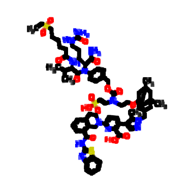 C=CS(=O)(=O)CCCCCC(=O)N[C@H](C(=O)N(c1ccc(COC(=O)N(CCOC23CC4(C)CC(C)(CC(Cn5ncc(-c6ccc(N7CCc8cccc(C(=O)Nc9nc%10ccccc%10s9)c8C7)nc6C(=O)O)c5C)(C4)C2)C3)CCS(=O)(=O)O)cc1)[C@@H](CCCNC(N)=O)C(N)=O)C(C)C